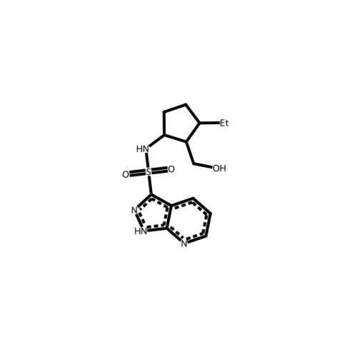 CCC1CCC(NS(=O)(=O)c2n[nH]c3ncccc23)C1CO